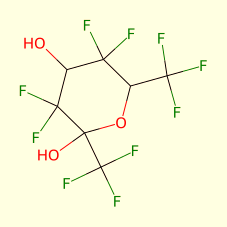 OC1C(F)(F)C(C(F)(F)F)OC(O)(C(F)(F)F)C1(F)F